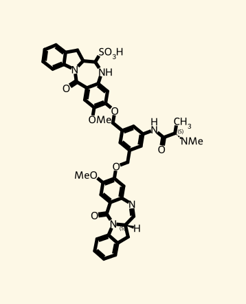 CN[C@@H](C)C(=O)Nc1cc(COc2cc3c(cc2OC)C(=O)N2c4ccccc4C[C@H]2C=N3)cc(COc2cc3c(cc2OC)C(=O)N2c4ccccc4CC2C(S(=O)(=O)O)N3)c1